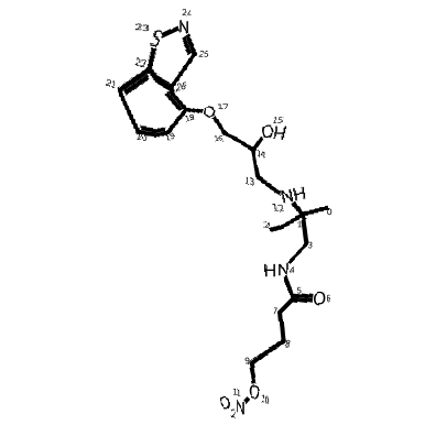 CC(C)(CNC(=O)CCCO[N+](=O)[O-])NCC(O)COc1cccc2sncc12